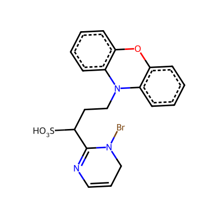 O=S(=O)(O)C(CCN1c2ccccc2Oc2ccccc21)C1=NC=CCN1Br